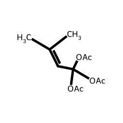 CC(=O)OC(C=C(C)C)(OC(C)=O)OC(C)=O